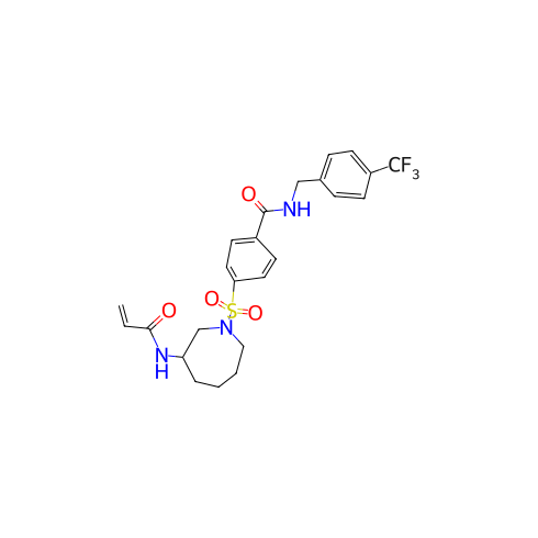 C=CC(=O)NC1CCCCN(S(=O)(=O)c2ccc(C(=O)NCc3ccc(C(F)(F)F)cc3)cc2)C1